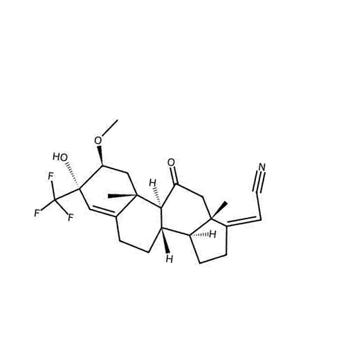 CO[C@H]1C[C@@]2(C)C(=C[C@@]1(O)C(F)(F)F)CC[C@@H]1[C@@H]2C(=O)C[C@]2(C)/C(=C\C#N)CC[C@@H]12